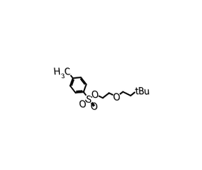 Cc1ccc(S(=O)(=O)OCCOCCC(C)(C)C)cc1